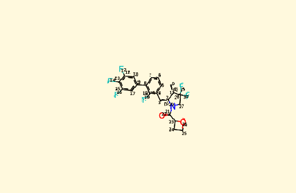 C[C@@H]1[C@H](Cc2cccc(-c3cc(F)c(F)c(F)c3)c2F)N(C(=O)C2CCO2)CC1(F)F